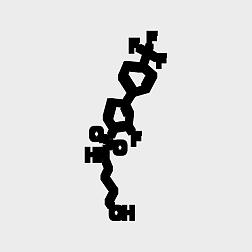 O=S(=O)(NCCCCO)c1ccc(-c2ccc(C(F)(F)F)cc2)cc1F